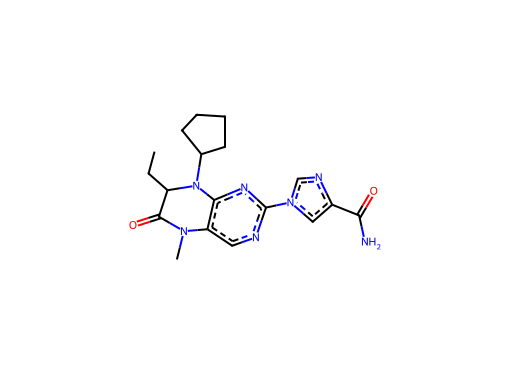 CCC1C(=O)N(C)c2cnc(-n3cnc(C(N)=O)c3)nc2N1C1CCCC1